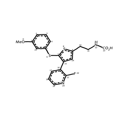 COc1cccc(Sc2sc(CCNC(=O)O)cc2-c2cccnc2F)c1